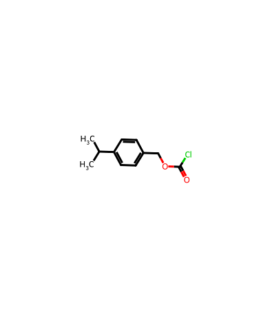 CC(C)c1ccc(COC(=O)Cl)cc1